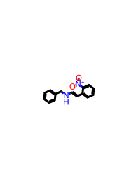 O=[N+]([O-])c1ccccc1C=CNCc1ccccc1